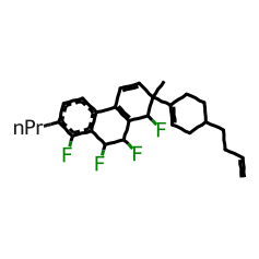 C=CCCC1CC=C(C2(C)C=CC3=C(C(F)C(F)c4c3ccc(CCC)c4F)C2F)CC1